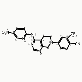 N#Cc1ccc(N2CCc3c(ncnc3Nc3ccc([N+](=O)[O-])cn3)C2)cc1C(F)(F)F